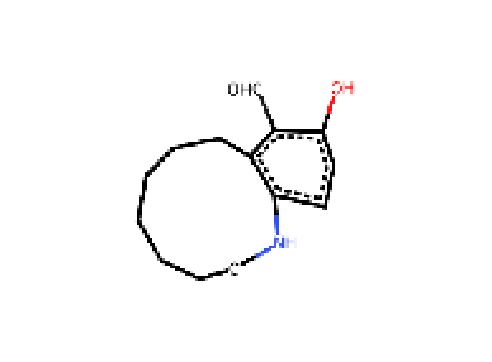 O=Cc1c(O)ccc2c1CCCCCCCN2